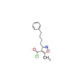 Cc1onc(CCCCc2ccccc2)c1C(=O)Cl